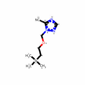 C[Si](C)(C)CCOCn1ncnc1C#N